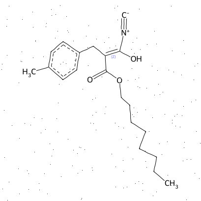 [C-]#[N+]/C(O)=C(\Cc1ccc(C)cc1)C(=O)OCCCCCCCC